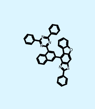 c1ccc(-c2nc(-c3ccccc3)nc(-c3cc(-c4c5nc(-c6ccccc6)sc5cc5oc6ccccc6c45)cc4ccccc34)n2)cc1